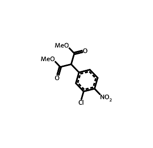 COC(=O)C(C(=O)OC)c1ccc([N+](=O)[O-])c(Cl)c1